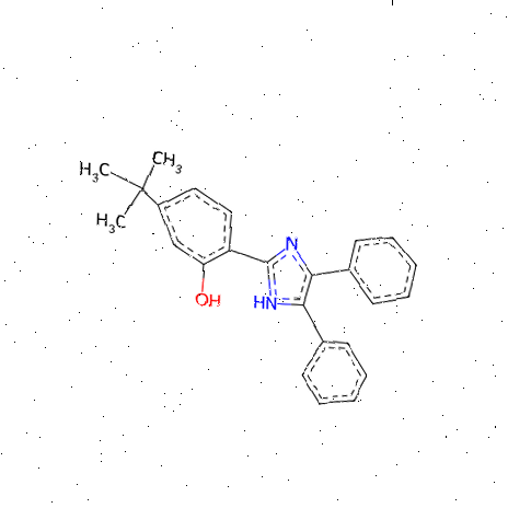 CC(C)(C)c1ccc(-c2nc(-c3ccccc3)c(-c3ccccc3)[nH]2)c(O)c1